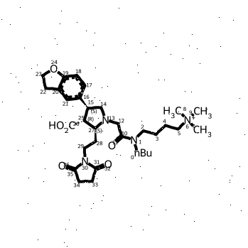 CCCCN(CCCC[N+](C)(C)C)C(=O)CN1C[C@H](c2ccc3c(c2)CCO3)[C@@H](C(=O)O)[C@@H]1CCN1C(=O)CCC1=O